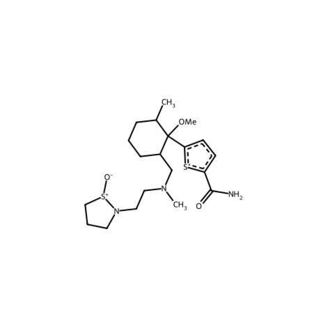 COC1(c2ccc(C(N)=O)s2)C(C)CCCC1CN(C)CCN1CCC[S+]1[O-]